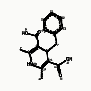 CC1=C(C(=O)O)C(Cc2ccccc2)C(C(=O)O)=C(C)N1